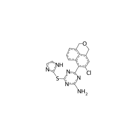 Nc1nc(Sc2ncc[nH]2)nc(-c2c(Cl)cc3c4c(cccc24)COC3)n1